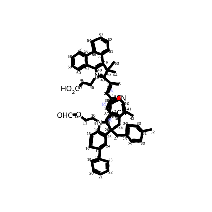 C\C(=C/C(C#N)=C/C(C#N)=C1\N(CCOC=O)c2ccc(-c3ccccc3)cc2C1(Cc1ccc(C)cc1)Cc1ccccc1C)C1=[N+](CCC(=O)O)c2c(c3ccccc3c3ccccc23)C1(C)C